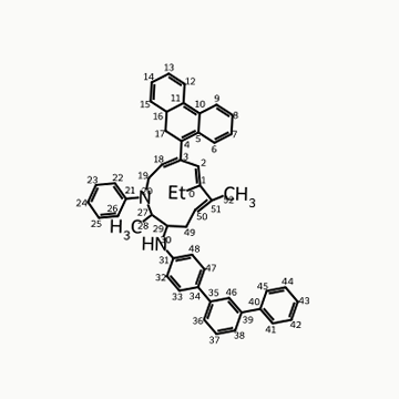 CCC1=C\C(C2=c3ccccc3=C3C=CC=CC3C2)=C/CN(c2ccccc2)C(C)C(Nc2ccc(-c3cccc(-c4ccccc4)c3)cc2)C\C=C\1C